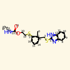 Cc1c(CSc2nc3ccccc3[nH]2)cccc1SCCOC(=O)NC(C)C